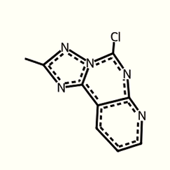 Cc1nc2c3cccnc3nc(Cl)n2n1